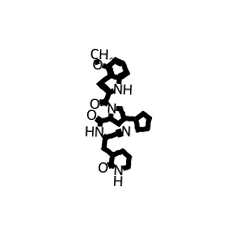 COc1cccc2[nH]c(C(=O)N3CC(C4CCCC4)CC3C(=O)NC(C#N)CC3CCCNC3=O)cc12